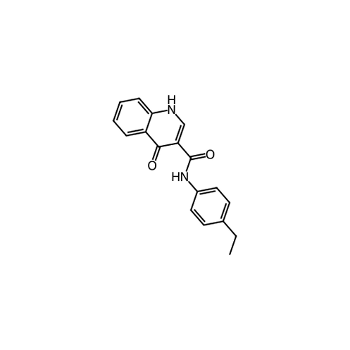 CCc1ccc(NC(=O)c2c[nH]c3ccccc3c2=O)cc1